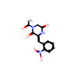 CC(=O)N1CC(=O)N/C(=C\c2ccccc2[N+](=O)[O-])C1=O